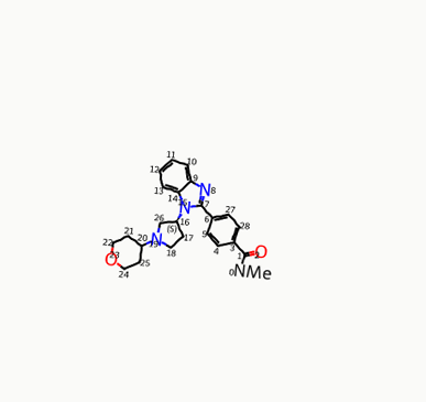 CNC(=O)c1ccc(-c2nc3ccccc3n2[C@H]2CCN(C3CCOCC3)C2)cc1